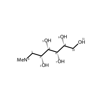 CNC[C@@H](O)[C@H](O)[C@@H](O)[C@H](O)CO